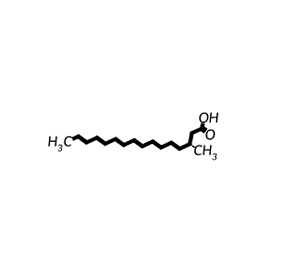 CCCCCCCCCCCCC[C@@H](C)CC(=O)O